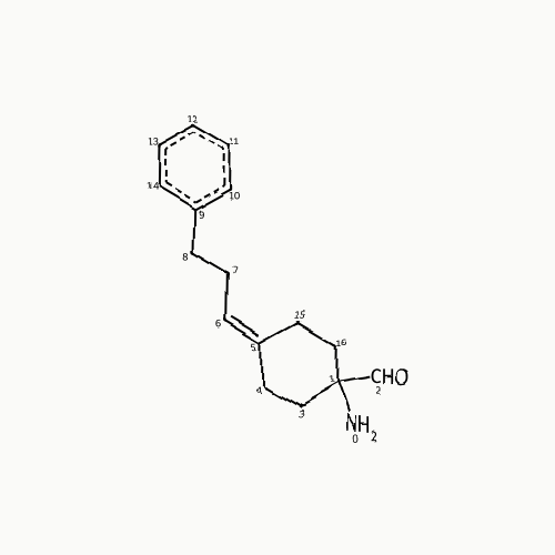 NC1(C=O)CCC(=CCCc2ccccc2)CC1